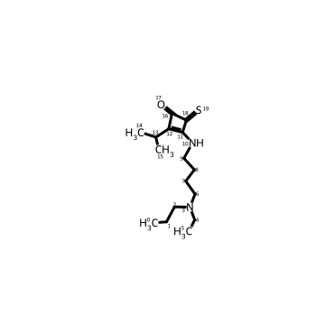 CCCN(CC)CCCCNc1c(C(C)C)c(=O)c1=S